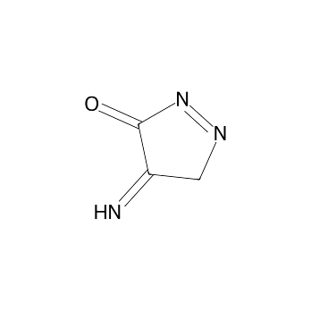 N=C1CN=NC1=O